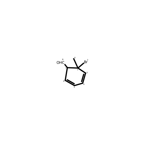 CC1(Br)C=CC=CC1C=O